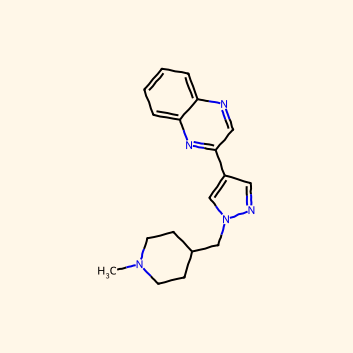 CN1CCC(Cn2cc(-c3cnc4ccccc4n3)cn2)CC1